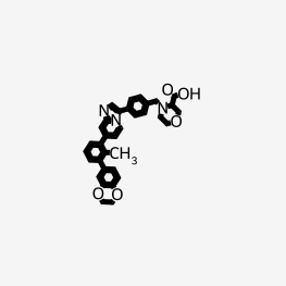 Cc1c(-c2ccc3c(c2)OCCO3)cccc1-c1ccn2c(-c3ccc(CN4CCOCC4C(=O)O)cc3)cnc2c1